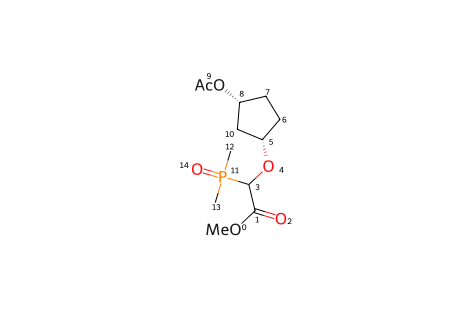 COC(=O)C(O[C@H]1CC[C@@H](OC(C)=O)C1)P(C)(C)=O